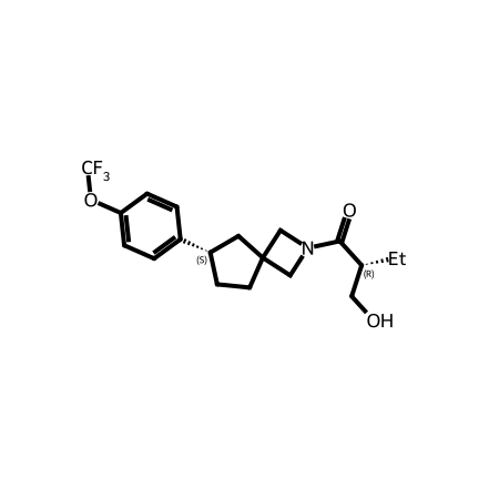 CC[C@H](CO)C(=O)N1CC2(CC[C@H](c3ccc(OC(F)(F)F)cc3)C2)C1